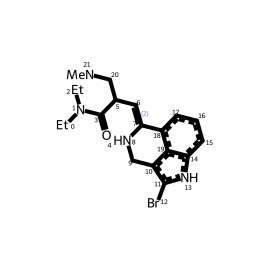 CCN(CC)C(=O)C(/C=C1\NCc2c(Br)[nH]c3cccc1c23)CNC